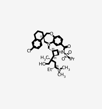 CC[C@H](C[C@@](C)(CO)[C@@H]1CC[C@H]1CN1C[C@@]2(CCCc3cc(Cl)ccc32)COc2ccc(C(=O)NS(=O)(=O)C(C)C)cc21)N(C)C